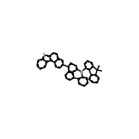 CC1(C)c2ccccc2-c2c(N(c3ccc(-c4ccc5c(ccc6sc7ccccc7c65)c4)cc3)c3ccccc3-c3ccccc3)cccc21